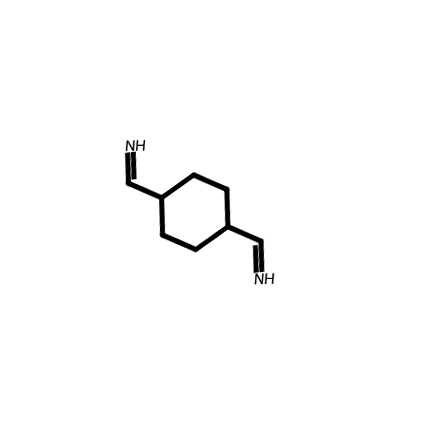 N=CC1CCC(C=N)CC1